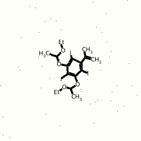 C=C(C)c1c(I)c(OC(C)OCC)c(I)c(OC(C)OCC)c1I